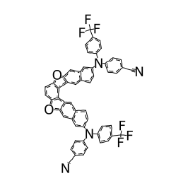 N#Cc1ccc(N(c2ccc(C(F)(F)F)cc2)c2ccc3cc4c(cc3c2)oc2ccc3oc5cc6cc(N(c7ccc(C#N)cc7)c7ccc(C(F)(F)F)cc7)ccc6cc5c3c24)cc1